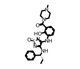 CC[C@@H](Nc1n[s+]([O-])nc1Nc1cccc(C(=O)N2CCN(C)CC2)c1O)c1ccccc1